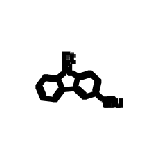 CCn1c2ccccc2c2cc(C(C)(C)C)ccc21